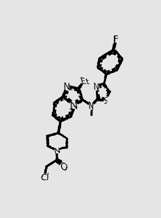 CCc1nc2ccc(C3CCN(C(=O)CCl)CC3)cn2c1N(C)c1nc(-c2ccc(F)cc2)cs1